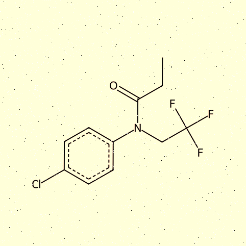 CCC(=O)N(CC(F)(F)F)c1ccc(Cl)cc1